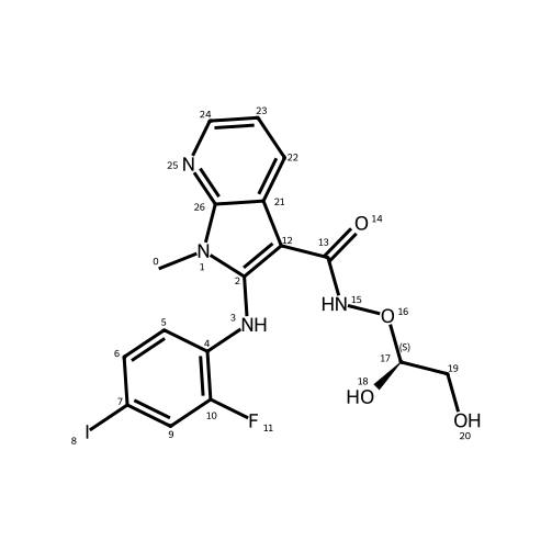 Cn1c(Nc2ccc(I)cc2F)c(C(=O)NO[C@H](O)CO)c2cccnc21